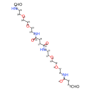 O=CCCC(=O)NCCOCCOCCNC(=O)CCC(=O)NCCOCCOCCNC=O